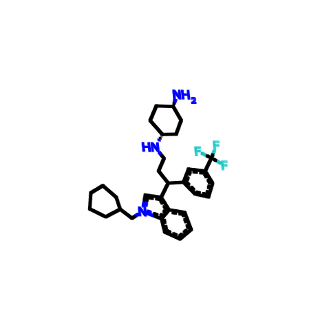 N[C@H]1CC[C@H](NCCC(c2cccc(C(F)(F)F)c2)c2cn(CC3CCCCC3)c3ccccc23)CC1